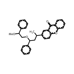 COC(COC(CC(C)c1ccc2oc3ccccc3c(=O)c2c1)c1ccccc1)c1ccccc1